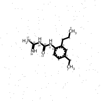 CCCc1cc(CC)ccc1NC(=O)NC(=N)N